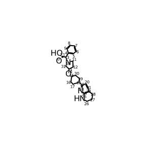 O=C(O)C(c1ccccc1)N1CC[C@@H](O[C@H]2CC[C@H](c3ccc4c(n3)NCCC4)CC2)C1